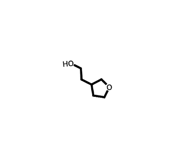 OCCC1CCOC1